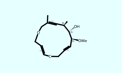 CO[C@H]1/C=C/CC/C=C/COC/C(C)=C\[C@@H](C)[C@@H]1O